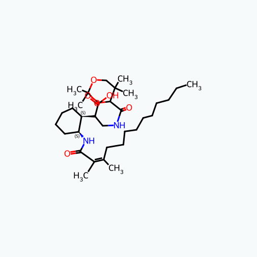 CCCCCCCCCCC(C)=C(C)C(=O)N[C@H]1CCCC[C@H]1C(CNC(=O)C1OC(C)(C)OCC1(C)C)C(=O)O